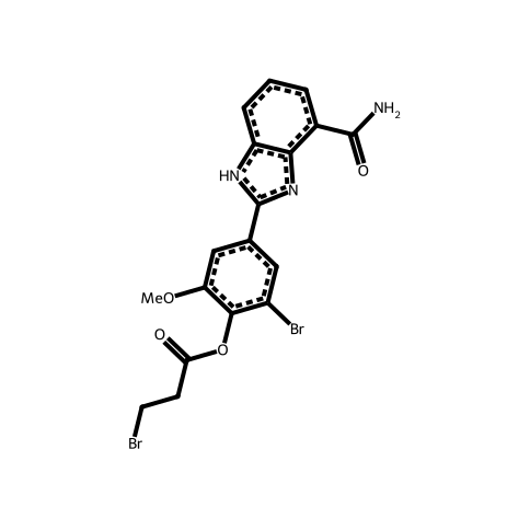 COc1cc(-c2nc3c(C(N)=O)cccc3[nH]2)cc(Br)c1OC(=O)CCBr